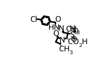 C[C@@H]1CC(=O)N1[C@@H](C(=O)O)[C@](C)(/C=N/NC(=O)c1ccc(Cl)cc1)[SH](=O)=O